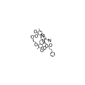 C=CCOc1c(C)c2c(c3c1CC1C4c5c(cc(C)c(OC)c5OCOC)CC([C@H](C#N)N1[C@H]3COC(=O)CCc1ccccc1)N4C)OCO2